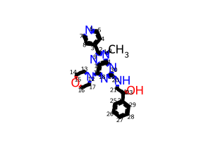 Cn1c(-c2ccncc2)nc2c(N3CCOCC3)nc(NCC(O)c3ccccc3)nc21